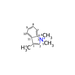 CC1=C[N+](C)(C)c2ccccc21